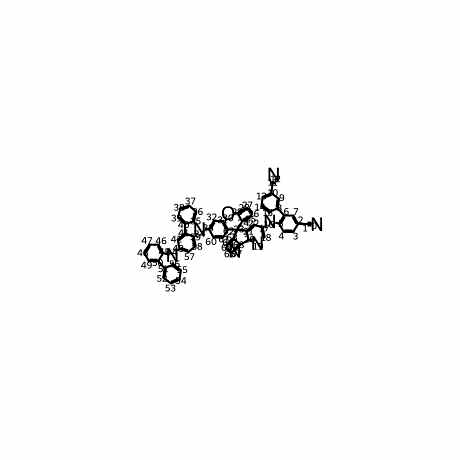 N#Cc1ccc2c(c1)c1cc(C#N)ccc1n2-c1cnc2c(c1)C1(c3ccccc3Oc3cc(-n4c5ccccc5c5cc(-n6c7ccccc7c7ccccc76)ccc54)ccc31)c1cccnc1-2